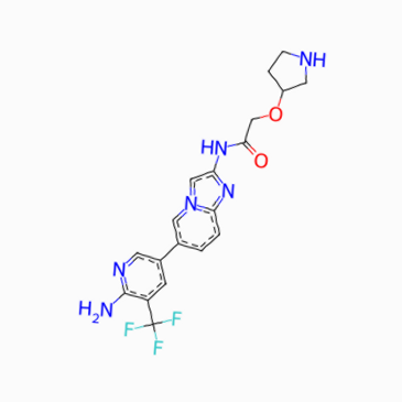 Nc1ncc(-c2ccc3nc(NC(=O)COC4CCNC4)cn3c2)cc1C(F)(F)F